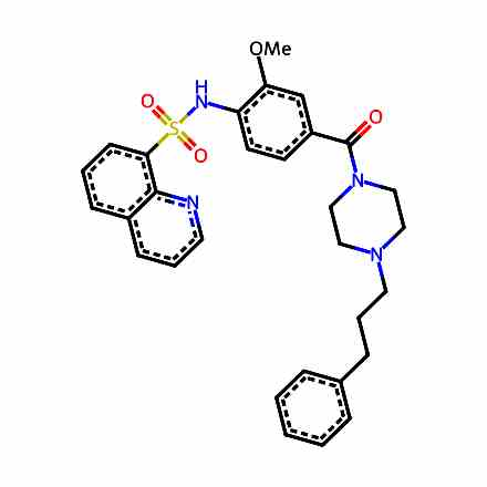 COc1cc(C(=O)N2CCN(CCCc3ccccc3)CC2)ccc1NS(=O)(=O)c1cccc2cccnc12